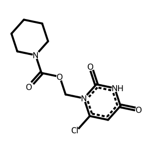 O=C(OCn1c(Cl)cc(=O)[nH]c1=O)N1CCCCC1